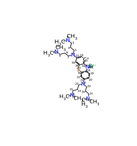 CN(C)CCCN(CCCN(C)C)C1=C[C+]=C2Nc3ccc(N(CCCN(C)C)CCCN(C)C)cc3SC2=C1.[Br-]